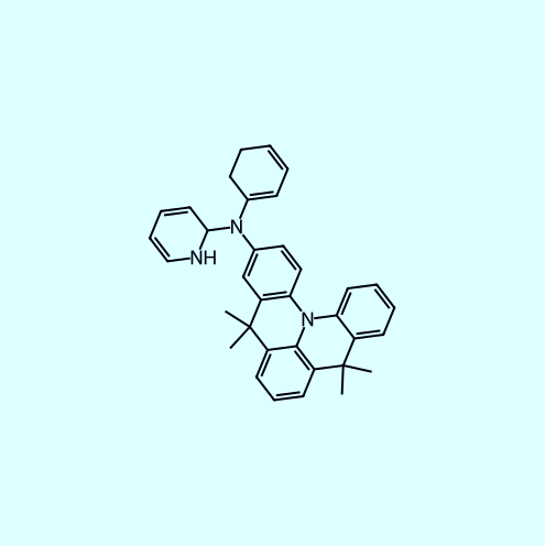 CC1(C)c2ccccc2N2c3ccc(N(C4=CC=CCC4)C4C=CC=CN4)cc3C(C)(C)c3cccc1c32